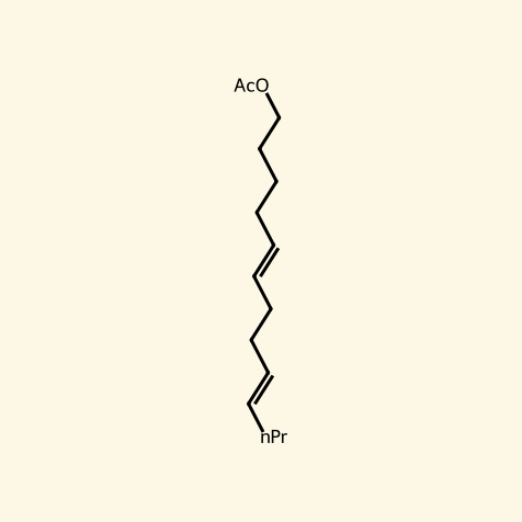 CCCC=CCCC=CCCCCOC(C)=O